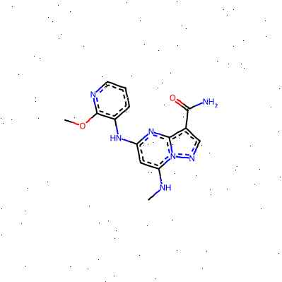 CNc1cc(Nc2cccnc2OC)nc2c(C(N)=O)cnn12